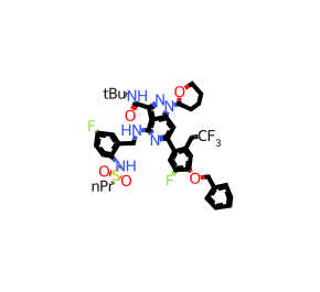 CCCS(=O)(=O)Nc1ccc(F)cc1CNc1nc(-c2cc(F)c(OCc3ccccc3)cc2CC(F)(F)F)cc2c1c(C(=O)NC(C)(C)C)nn2C1CCCCO1